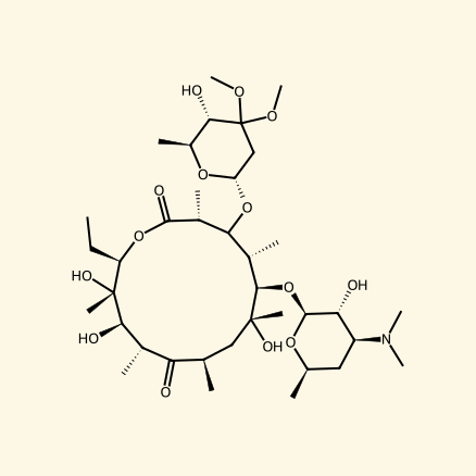 CC[C@H]1OC(=O)[C@H](C)C(O[C@H]2CC(OC)(OC)[C@@H](O)[C@H](C)O2)[C@H](C)[C@@H](O[C@@H]2O[C@H](C)C[C@H](N(C)C)[C@H]2O)[C@](C)(O)C[C@@H](C)C(=O)[C@H](C)[C@@H](O)[C@]1(C)O